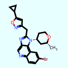 C[C@@H]1C[C@H](n2c(Cc3cc(C4CC4)on3)nc3cnc4ccc(Br)cc4c32)CCO1